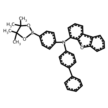 CC1(C)OB(c2ccc(N(c3ccc(-c4ccccc4)cc3)c3cccc4c3oc3ccccc34)cc2)OC1(C)C